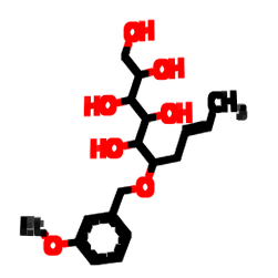 CC=CCC(OCc1cccc(OCC)c1)C(O)C(O)C(O)C(O)CO